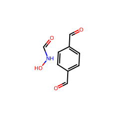 O=CNO.O=Cc1ccc(C=O)cc1